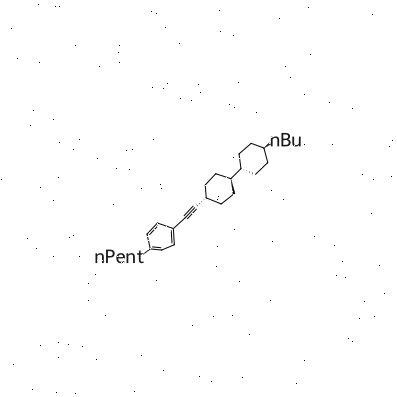 CCCCCc1ccc(C#C[C@H]2CC[C@H]([C@H]3CC[C@H](CCCC)CC3)CC2)cc1